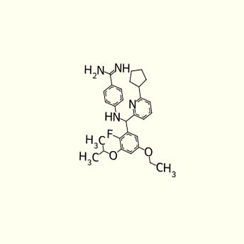 CCOc1cc(OC(C)C)c(F)c(C(Nc2ccc(C(=N)N)cc2)c2cccc(C3CCCC3)n2)c1